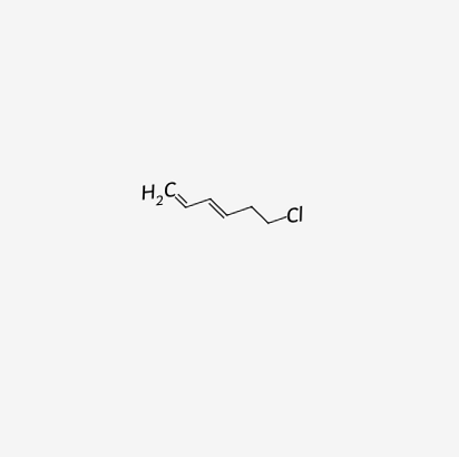 C=C/C=C/CCCl